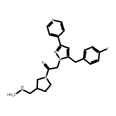 O=C(O)NCC1CCN(C(=O)Cn2nc(-c3ccncc3)cc2Cc2ccc(F)cc2)C1